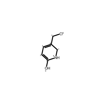 OC1=CC=C(CCl)CN1